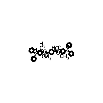 Cc1cc([SH](c2ccccc2)c2ccccc2)cc(C)c1OC(=O)C1CCC(C(=O)Oc2c(C)cc([SH](c3ccccc3)c3ccccc3)cc2C)CC1